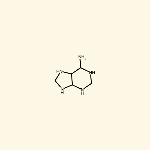 NC1NCNC2NCNC12